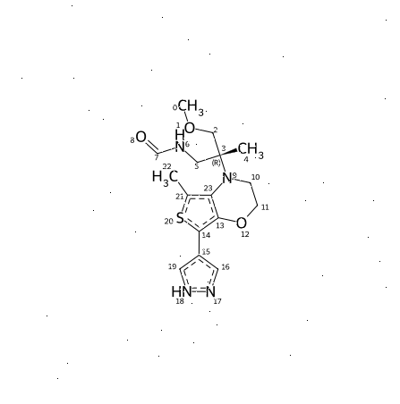 COC[C@@](C)(CNC=O)N1CCOc2c(-c3cn[nH]c3)sc(C)c21